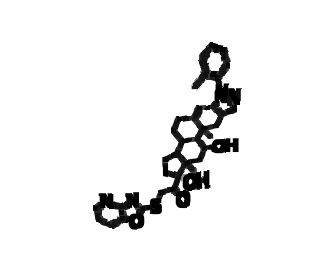 Cc1ccccc1-n1ncc2c1C=C1CCC3C([C@@H](O)CC4(C)C3CC[C@]4(O)C(=O)CSc3nc4ncccc4o3)C1(C)C2